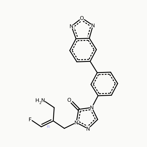 NC/C(=C\F)Cn1ncn(-c2cccc(-c3ccc4nonc4c3)c2)c1=O